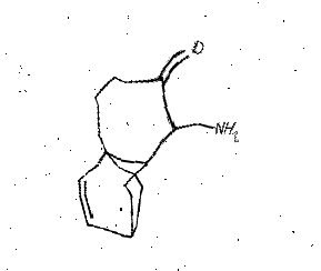 NC1C(=O)CCC23C=CC(CC2)CC13